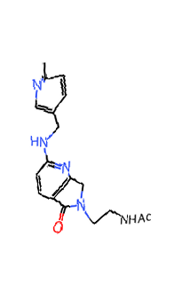 CC(=O)NCCN1Cc2nc(NCc3ccc(C)nc3)ccc2C1=O